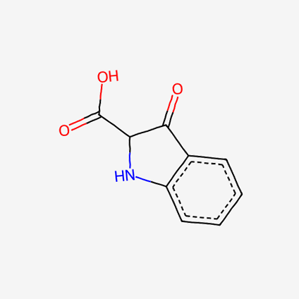 O=C(O)C1Nc2ccccc2C1=O